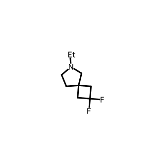 CCN1CCC2(C1)CC(F)(F)C2